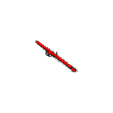 CCCCCCCCCCCCCCCCC(CCCCCCCCCCCCCCCCCCCCCCCCCCCC(C)C)C(=O)O